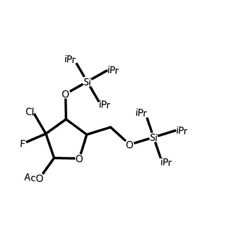 CC(=O)OC1OC(CO[Si](C(C)C)(C(C)C)C(C)C)C(O[Si](C(C)C)(C(C)C)C(C)C)C1(F)Cl